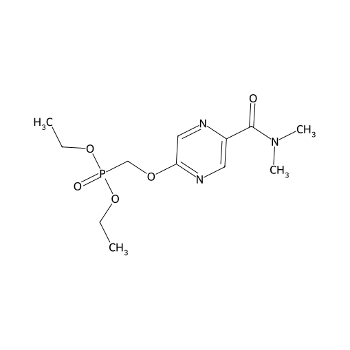 CCOP(=O)(COc1cnc(C(=O)N(C)C)cn1)OCC